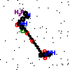 C=C1CCC(N2C(=O)c3cccc(CCCCCCCCCOCCCCCOCCCc4cc(NC(=C=O)C(C)C5CCC(c6ccnc7c6C=C(P)CC7)CC5)ccc4Cl)c3C2=O)C(=C)N1